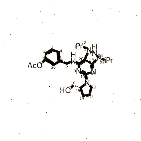 CC(=O)Oc1cccc(CNc2nc(N3CCC[C@@H]3CO)nc3c2N(C(C)C)NN3C(C)C)c1